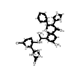 Cc1cc(C(C)Nc2ccc(Cl)nc2-c2noc(=O)[nH]2)c2oc(-c3ccccc3)c(-c3cocn3)c(=O)c2c1